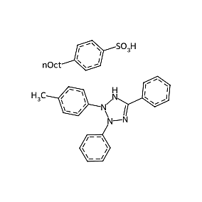 CCCCCCCCc1ccc(S(=O)(=O)O)cc1.Cc1ccc(N2NC(c3ccccc3)=NN2c2ccccc2)cc1